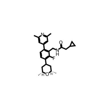 Cc1cc(-c2ccc(C3C[C@@H](C)O[C@@H](C)C3)c(F)c2CNC(=O)CC2CC2)cc(C)n1